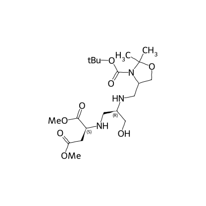 COC(=O)C[C@H](NC[C@H](CO)NCC1COC(C)(C)N1C(=O)OC(C)(C)C)C(=O)OC